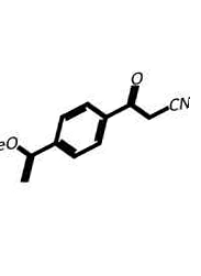 C=C(OC)c1ccc(C(=O)CC#N)cc1